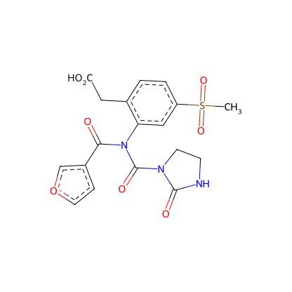 CS(=O)(=O)c1ccc(CC(=O)O)c(N(C(=O)c2ccoc2)C(=O)N2CCNC2=O)c1